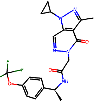 Cc1nn(C2CC2)c2cnn(CC(=O)N[C@@H](C)c3ccc(OC(F)(F)F)cc3)c(=O)c12